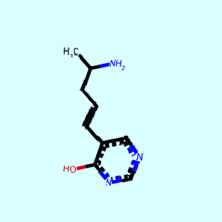 CC(N)CC=Cc1cncnc1O